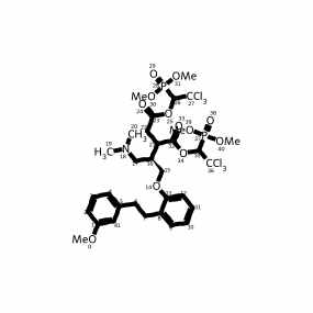 COc1cccc(CCc2ccccc2OC[C@@H](CN(C)C)C(CC(=O)OC(C(Cl)(Cl)Cl)P(=O)(OC)OC)C(=O)OC(C(Cl)(Cl)Cl)P(=O)(OC)OC)c1